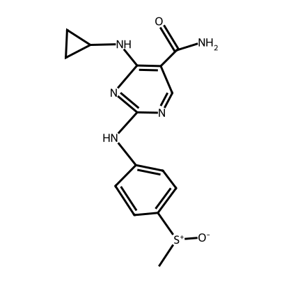 C[S+]([O-])c1ccc(Nc2ncc(C(N)=O)c(NC3CC3)n2)cc1